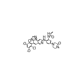 C=CC(=O)Nc1cc(N2CCN(C)C(=O)C2)ccc1Nc1cc2c(cn1)cc(-c1c(Cl)c(OC)cc(OC)c1Cl)c1ncnn12